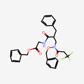 O=C(CNC(=O)C(Cc1ccccc1)CN(OCc1ccccc1)C(=O)CC(F)(F)F)OCc1ccccc1